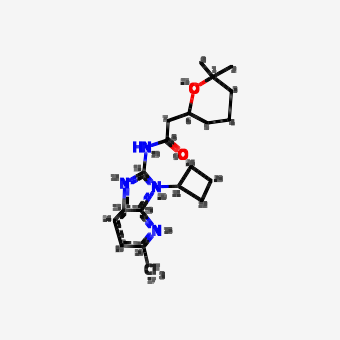 CC1(C)CCCC(CC(=O)Nc2nc3ccc(C(F)(F)F)nc3n2C2CCC2)O1